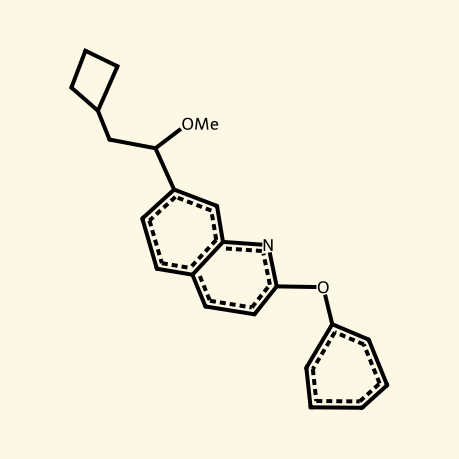 COC(CC1CCC1)c1ccc2ccc(Oc3ccccc3)nc2c1